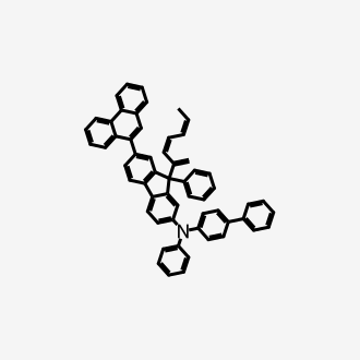 C=C(/C=C\C=C/C)C1(c2ccccc2)c2cc(-c3cc4ccccc4c4ccccc34)ccc2-c2ccc(N(c3ccccc3)c3ccc(-c4ccccc4)cc3)cc21